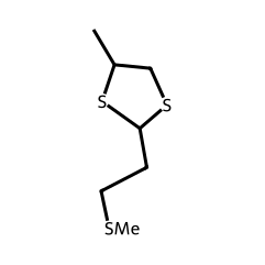 CSCCC1SCC(C)S1